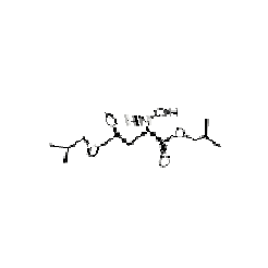 CC(C)COC(=O)CC(NO)C(=O)OCC(C)C